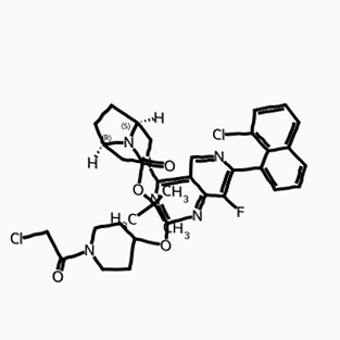 CC(C)(C)OC(=O)N1[C@@H]2CC[C@H]1CN(c1nc(OC3CCN(C(=O)CCl)CC3)nc3c(F)c(-c4cccc5cccc(Cl)c45)ncc13)C2